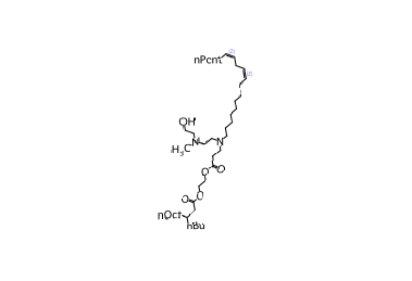 CCCCC/C=C\C/C=C\CCCCCCCCN(CCC(=O)OCCOC(=O)CC(CCCC)CCCCCCCC)CCN(C)CCO